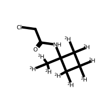 [2H]C([2H])([2H])C1(NC(=O)CCl)C([2H])([2H])C([2H])([2H])C1([2H])[2H]